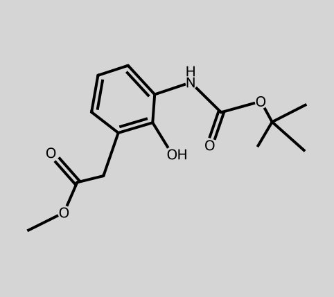 COC(=O)Cc1cccc(NC(=O)OC(C)(C)C)c1O